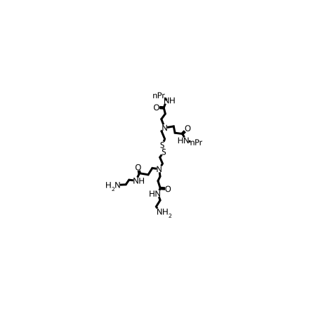 CCCNC(=O)CCN(CCSSCCN(CCC(=O)NCCN)CCC(=O)NCCN)CCC(=O)NCCC